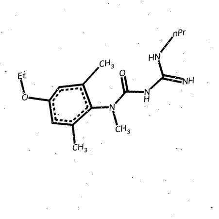 CCCNC(=N)NC(=O)N(C)c1c(C)cc(OCC)cc1C